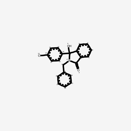 O=C1c2ccccc2C(O)(c2ccc(Cl)cc2)N1Cc1ccccc1